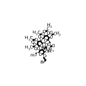 CC(=O)OC[C@H]1O[C@@H](O[C@@H]2[C@H](OC(C)=O)[C@@H](OC(C)=O)[C@H](O[C@H]3[C@H](O)[C@@H](O)[C@@H](OCCBr)O[C@@H]3CO)O[C@@H]2COC(C)=O)[C@H](OC(C)=O)[C@@H](OC(C)=O)[C@H]1OC(C)=O